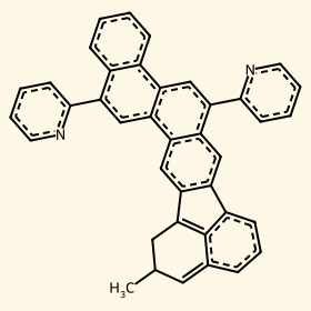 CC1C=c2cccc3c2=C(C1)c1cc2c(cc1-3)c(-c1ccccn1)cc1c3ccccc3c(-c3ccccn3)cc21